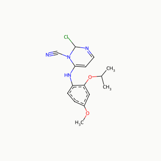 COc1ccc(NC2=CC=NC(Cl)N2C#N)c(OC(C)C)c1